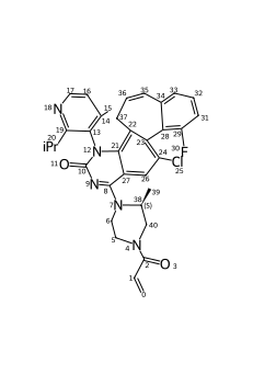 C=CC(=O)N1CCN(c2nc(=O)n(-c3c(C)ccnc3C(C)C)c3c4c(c(Cl)cc23)-c2c(F)cccc2C=CC4)[C@@H](C)C1